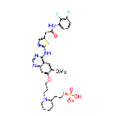 COc1cc2c(Nc3ncc(CC(=O)Nc4cccc(F)c4F)s3)ncnc2cc1OCCCN1CCCCC1CCOP(=O)(O)O